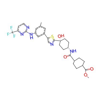 COC(=O)C1CCC(C(=O)N[C@H]2CC[C@](O)(c3ncc(-c4cc(C)cc(Nc5nccc(C(F)(F)F)n5)c4)s3)CC2)CC1